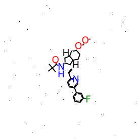 COCO[C@@H]1CC[C@@H]2[C@@H](C1)C[C@@H](NC(=O)C(C)(C)C)[C@H]2/C=C/c1ccc(-c2cccc(F)c2)cn1